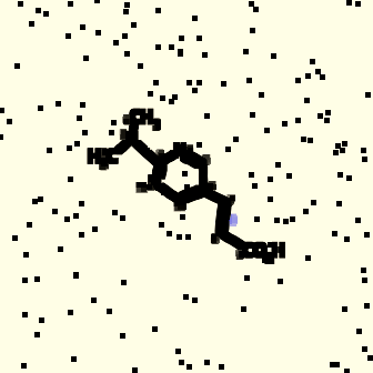 CN(C)c1ncc(/C=C/C(=O)O)cn1